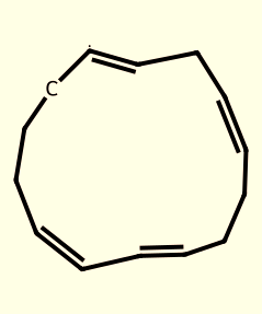 [C]1=C/C/C=C\CC/C=C/C=C\CCC/1